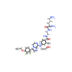 CCc1cc(Nc2nccn3c(-c4ccc(OCC#N)c(F)c4F)cnc23)ccc1C(=O)NCCNC(=O)[C@@H](N)CCCN.O=CO